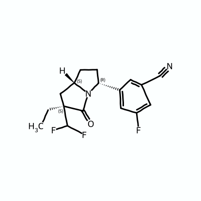 CC[C@]1(C(F)F)C[C@@H]2CC[C@H](c3cc(F)cc(C#N)c3)N2C1=O